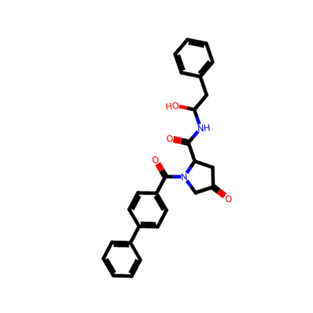 O=C1CC(C(=O)NC(O)Cc2ccccc2)N(C(=O)c2ccc(-c3ccccc3)cc2)C1